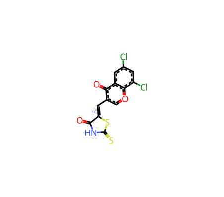 O=C1NC(=S)S/C1=C\c1coc2c(Cl)cc(Cl)cc2c1=O